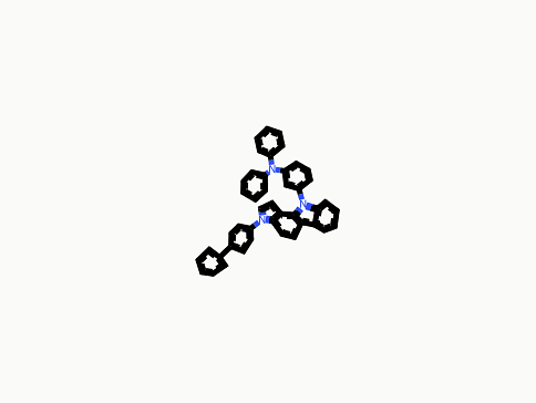 c1ccc(-c2ccc(-n3ccc4c3ccc3c5ccccc5n(-c5cccc(N(c6ccccc6)c6ccccc6)c5)c34)cc2)cc1